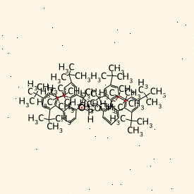 CC(C)(C)c1cc(C(C)(C)C)c(-c2cccc(OPOc3cccc(-c4c(C(C)(C)C)cc(C(C)(C)C)cc4C(C)(C)C)c3-c3c(C(C)(C)C)cc(C(C)(C)C)cc3C(C)(C)C)c2-c2c(C(C)(C)C)cc(C(C)(C)C)cc2C(C)(C)C)c(C(C)(C)C)c1